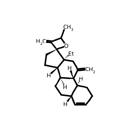 C=C1C[C@@]2(CC)[C@@H](CC[C@@]23OC(C)C3=C)[C@@H]2CC[C@H]3C=CCC[C@@H]3[C@@H]12